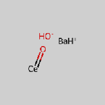 [BaH+].[OH-].[O]=[Ce]